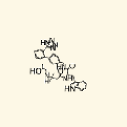 CC(O)CNC(C)(C)CC(=O)NC(Cc1c[nH]c2ccccc12)C(=O)NCc1ccc(-c2ccccc2-c2nnn[nH]2)cc1